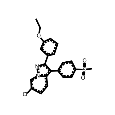 CCOc1cccc(-c2nn3cc(Cl)ccc3c2-c2ccc(S(C)(=O)=O)cc2)c1